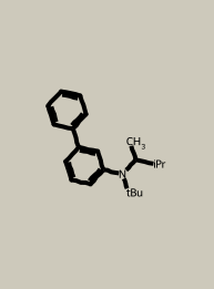 CC(C)C(C)N(c1cccc(-c2ccccc2)c1)C(C)(C)C